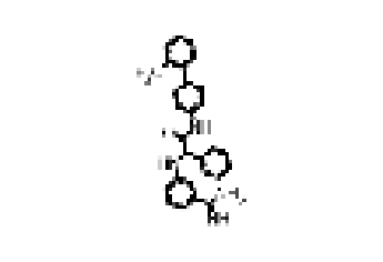 N=C(N)c1cccc(NC(C(=O)Nc2ccc(-c3ccccc3C(F)(F)F)cc2)c2ccccc2)c1